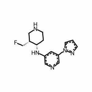 FC[C@@H]1CNCC[C@@H]1Nc1cncc(-n2cccn2)c1